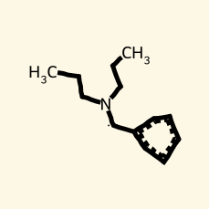 CCCN([CH]c1ccccc1)CCC